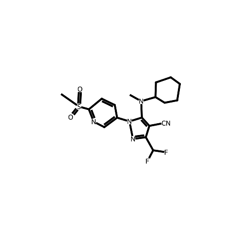 CN(c1c(C#N)c(C(F)F)nn1-c1ccc(S(C)(=O)=O)nc1)C1CCCCC1